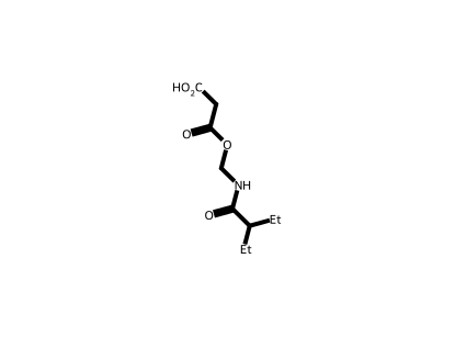 CCC(CC)C(=O)NCOC(=O)CC(=O)O